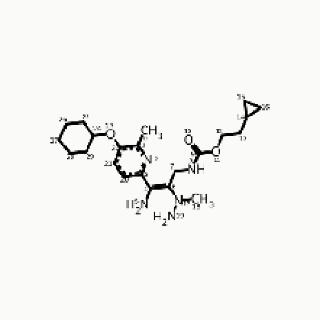 Cc1nc(/C(N)=C(\CNC(=O)OCCC2CC2)N(C)N)ccc1OC1CCCCC1